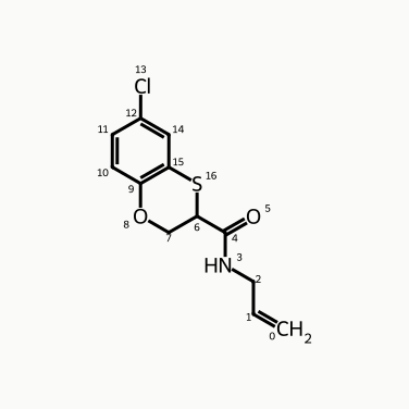 C=CCNC(=O)C1COc2ccc(Cl)cc2S1